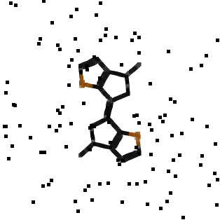 CC1C/C(=C2/CC(C)c3ccsc32)c2sccc21